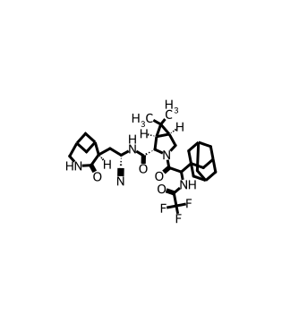 CC1(C)[C@@H]2[C@@H](C(=O)N[C@H](C#N)C[C@H]3C(=O)NCC4CC3C4)N(C(=O)C(NC(=O)C(F)(F)F)C34CC5CC(CC(C5)C3)C4)C[C@@H]21